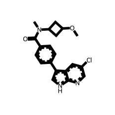 COC1CC(N(C)C(=O)c2ccc(-c3c[nH]c4ncc(Cl)cc34)cc2)C1